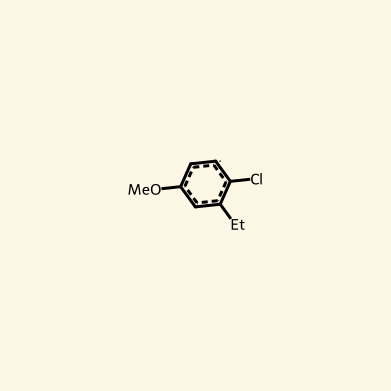 CCc1cc(OC)c[c]c1Cl